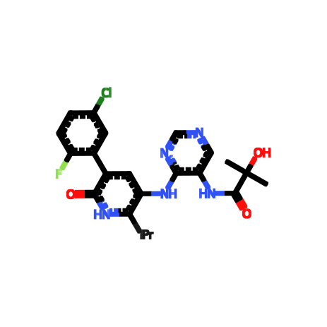 CC(C)c1[nH]c(=O)c(-c2cc(Cl)ccc2F)cc1Nc1ncncc1NC(=O)C(C)(C)O